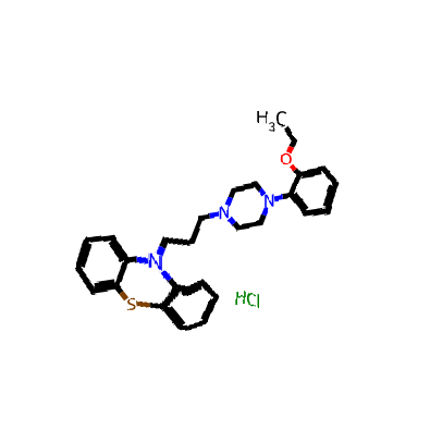 CCOc1ccccc1N1CCN(CCCN2c3ccccc3Sc3ccccc32)CC1.Cl